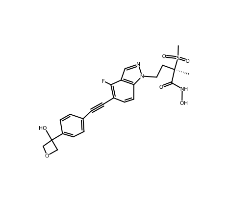 C[C@@](CCn1ncc2c(F)c(C#Cc3ccc(C4(O)COC4)cc3)ccc21)(C(=O)NO)S(C)(=O)=O